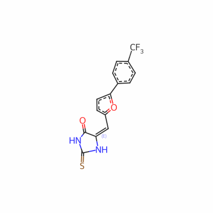 O=C1NC(=S)N/C1=C/c1ccc(-c2ccc(C(F)(F)F)cc2)o1